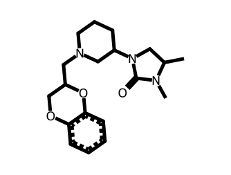 CC1CN(C2CCCN(CC3COc4ccccc4O3)C2)C(=O)N1C